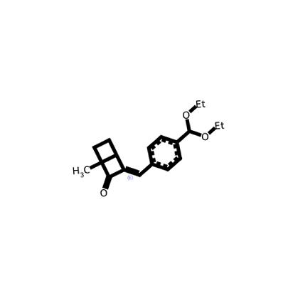 CCOC(OCC)c1ccc(/C=C2/C(=O)C3(C)CCC23)cc1